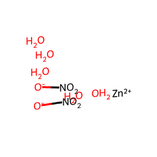 O.O.O.O.O.O=[N+]([O-])[O-].O=[N+]([O-])[O-].[Zn+2]